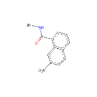 CC(C)NC(=O)c1cccc2ccc([N+](=O)[O-])cc12